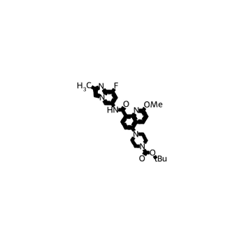 COc1ccc2c(N3CCN(C(=O)OC(C)(C)C)CC3)ccc(C(=O)Nc3cc(F)c4nc(C)cn4c3)c2n1